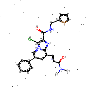 CCN(CC)C(=O)/C=C/c1cc(-c2ccccc2)cn2c(Cl)c(C(=O)NCc3cccs3)nc12